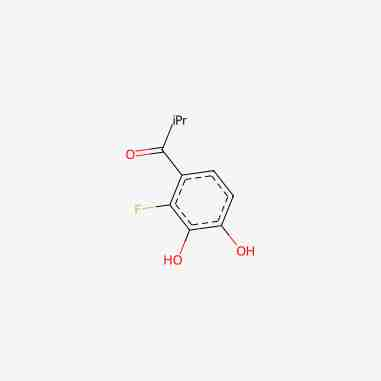 CC(C)C(=O)c1ccc(O)c(O)c1F